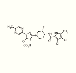 Cc1cnc(-c2nc(N3CC[C@@H](NC(=O)c4[nH]c(C)c(Cl)c4Cl)[C@@H](F)C3)sc2OC(=O)O)cn1